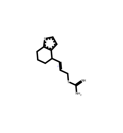 N=C(N)SC/C=C/C1CCCc2sccc21